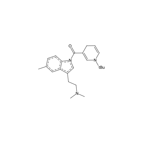 Cc1ccc2c(c1)c(CCN(C)C)cn2C(=O)C1=CN(C(C)(C)C)C=CC1